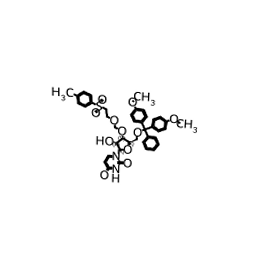 COc1ccc(C(OC[C@H]2O[C@@H](n3ccc(=O)[nH]c3=O)[C@H](O)[C@@H]2OCOCCS(=O)(=O)c2ccc(C)cc2)(c2ccccc2)c2ccc(OC)cc2)cc1